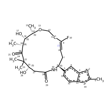 Cc1nc2cc([C@@H]3C/C=C(\F)CCO[C@@H](C)[C@@H](O)[C@@H](C)C(=O)C(C)(C)[C@@H](O)CC(=O)N3)ccc2s1